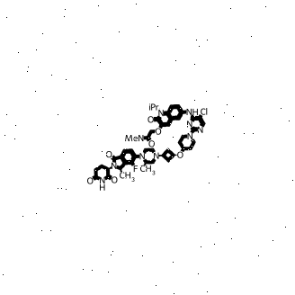 CNC(=O)COc1cc2cc(Nc3nc(N4CCC(O[C@H]5C[C@H](N6CCN(c7ccc8c(c7F)[C@@H](C)N([C@@H]7CCC(=O)NC7=O)C8=O)[C@H](C)C6)C5)CC4)ncc3Cl)ccc2n(C(C)C)c1=O